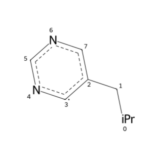 CC(C)Cc1[c]ncnc1